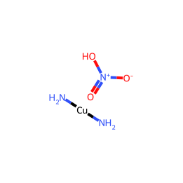 O=[N+]([O-])O.[NH2][Cu][NH2]